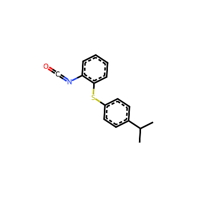 CC(C)c1ccc(Sc2ccccc2N=C=O)cc1